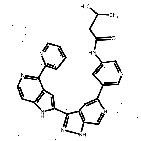 CC(C)CC(=O)Nc1cncc(-c2cc3c(-c4cc5c(-c6ccccn6)nccc5[nH]4)n[nH]c3cn2)c1